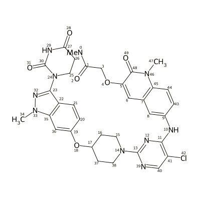 CNC(=O)COc1cc2cc(Nc3nc(N4CCC(Oc5ccc6c(N7CCC(=O)NC7=O)nn(C)c6c5)CC4)ncc3Cl)ccc2n(C)c1=O